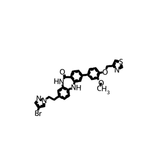 COc1cc(-c2ccc3c(c2)Nc2ccc(CCn4cc(Br)cn4)cc2NC3=O)ccc1OCc1cscn1